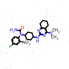 CN(C)c1nc(NC2CCC(N(C(N)=O)c3ccc(F)cc3[N+](=O)[O-])CC2)nc2c1CCCC2